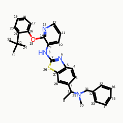 CC(c1ccc2nc(Nc3cccnc3Oc3ccccc3C(C)(C)C)sc2c1)N(C)Cc1ccccc1